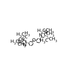 CC(C)Cc1cc(-c2cccc(Oc3cccc(-c4cc(CC(C)C)c([Si](C)(C)C)cn4)c3)c2)ncc1[Si](C)(C)C